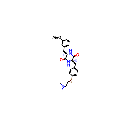 COc1cccc(/C=c2\[nH]c(=O)/c(=C/c3ccc(SCCN(C)C)cc3)[nH]c2=O)c1